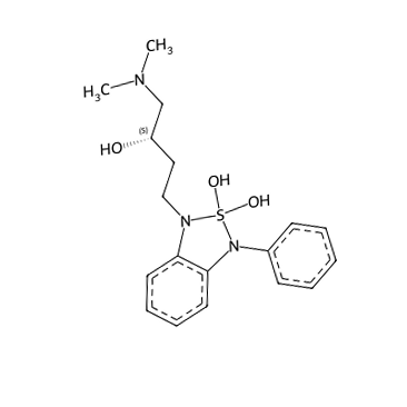 CN(C)C[C@@H](O)CCN1c2ccccc2N(c2ccccc2)S1(O)O